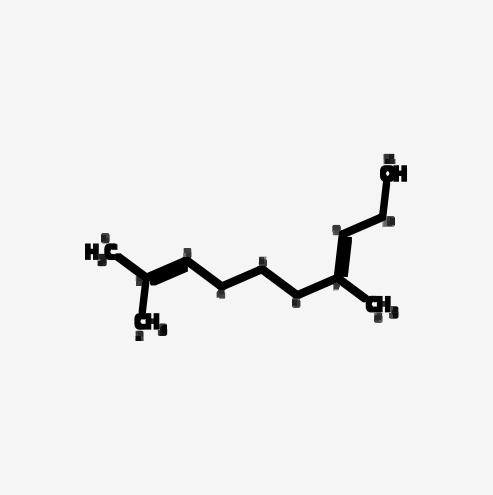 CC(C)=CCCCC(C)=CCO